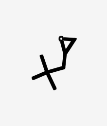 CC(C)(C)CC1CO1